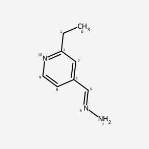 CCc1cc(C=NN)ccn1